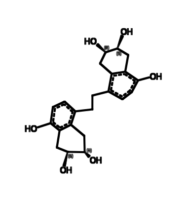 Oc1ccc(CCc2ccc(O)c3c2C[C@@H](O)[C@@H](O)C3)c2c1C[C@H](O)[C@H](O)C2